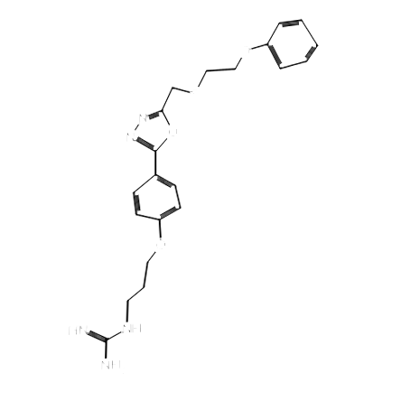 N=C(N)NCCCOc1ccc(-c2nnc(CSCCOc3ccccc3)o2)cc1